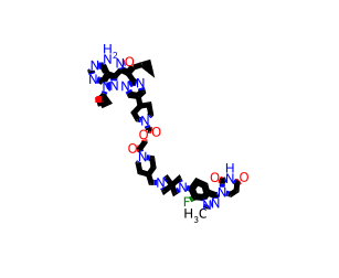 Cn1nc(N2CCC(=O)NC2=O)c2ccc(N3CC4(CN(CC5CCN(C(=O)COC(=O)N6CCC(c7cnc(-c8c(-c9nn(C%10%11CC(C%10)C%11)c%10ncnc(N)c9%10)noc8C8CC8)nc7)CC6)CC5)C4)C3)c(F)c21